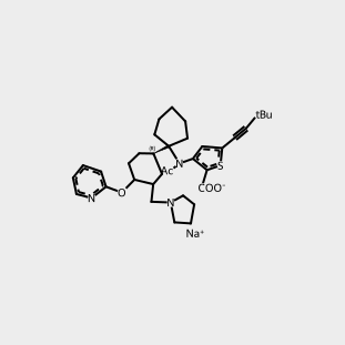 CC(=O)N(c1cc(C#CC(C)(C)C)sc1C(=O)[O-])C1([C@@H]2CCC(Oc3ccccn3)C(CN3CCCC3)C2)CCCCC1.[Na+]